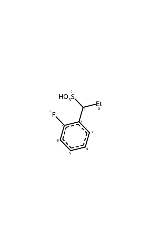 CCC(c1ccccc1F)S(=O)(=O)O